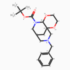 CC(C)(C)OC(=O)N1CC2CN(Cc3ccccc3)CC3(C2)OCCOC13